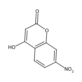 O=c1cc(O)c2ccc([N+](=O)[O-])cc2o1